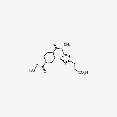 C[C@@H](C(=O)N1CCN(C(=O)OC(C)(C)C)CC1)n1cc(CCC(=O)O)nn1